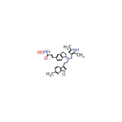 Cc1ccc2c(CCN(Cc3cc(C)[nH]c3C)C3CCc4cc(/C=C/C(=O)NO)ccc43)c[nH]c2c1